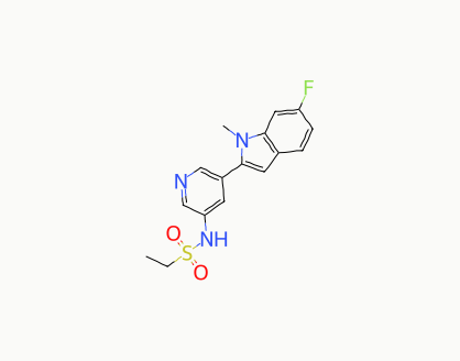 CCS(=O)(=O)Nc1cncc(-c2cc3ccc(F)cc3n2C)c1